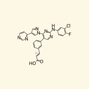 O=C(O)/C=C/c1cccc(-c2cnc(Nc3ccc(F)c(Cl)c3)nc2-n2cc(-c3ccncn3)cn2)c1